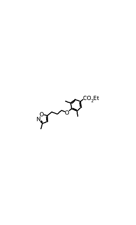 CCOC(=O)c1cc(C)c(OCCCc2cc(C)no2)c(C)c1